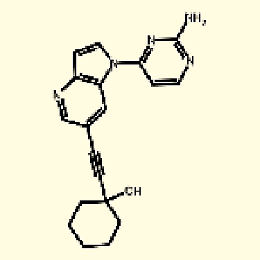 Nc1nccc(-n2ccc3ncc(C#CC4(O)CCCCC4)cc32)n1